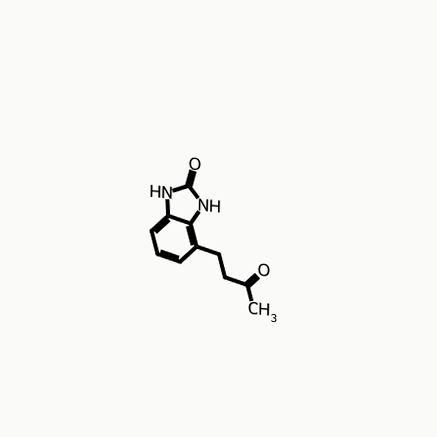 CC(=O)CCc1cccc2[nH]c(=O)[nH]c12